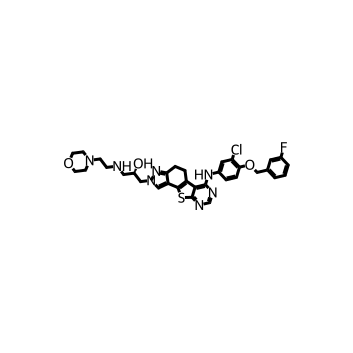 O[C@H](CNCCN1CCOCC1)Cn1cc2c(n1)CCc1c-2sc2ncnc(Nc3ccc(OCc4cccc(F)c4)c(Cl)c3)c12